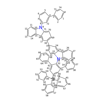 c1ccc(-c2cccc(-n3c4ccccc4c4cc(-c5ccc6c(c5)c5ccccc5n6-c5c(-c6ccccc6)cc([Si](c6ccccc6)(c6ccccc6)c6ccccc6)cc5-c5ccccc5)ccc43)c2)cc1